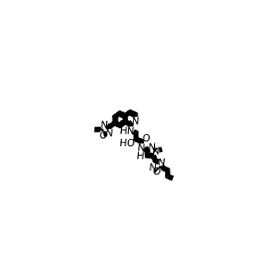 CCCc1nc(-c2cc(NC(=O)[C@@H](O)CNc3nccc4ccc(-c5noc(C)n5)cc34)nn2C)no1